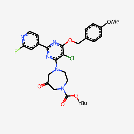 COc1ccc(COc2nc(-c3ccnc(F)c3)nc(N3CCN(C(=O)OC(C)(C)C)CC(=O)C3)c2Cl)cc1